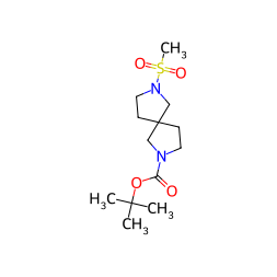 CC(C)(C)OC(=O)N1CCC2(CCN(S(C)(=O)=O)C2)C1